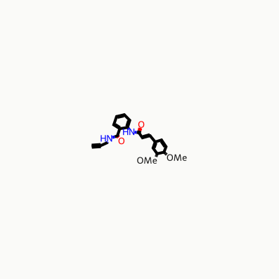 C#CCNC(=O)c1ccccc1NC(=O)/C=C/C1=CC(OC)C(OC)C=C1